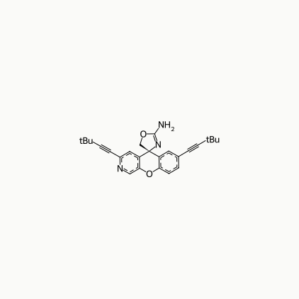 CC(C)(C)C#Cc1ccc2c(c1)[C@]1(COC(N)=N1)c1cc(C#CC(C)(C)C)ncc1O2